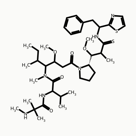 CCC(C)C(C(CC(=O)N1CCC[C@H]1C(OC)C(C)C(=S)NC(Cc1ccccc1)c1nccs1)OC)N(C)C(=O)C(NC(=O)C(C)(C)NC)C(C)C